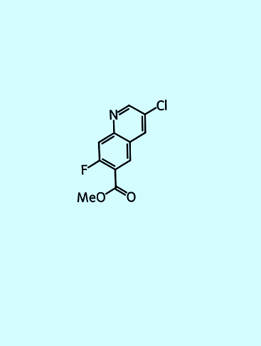 COC(=O)c1cc2cc(Cl)cnc2cc1F